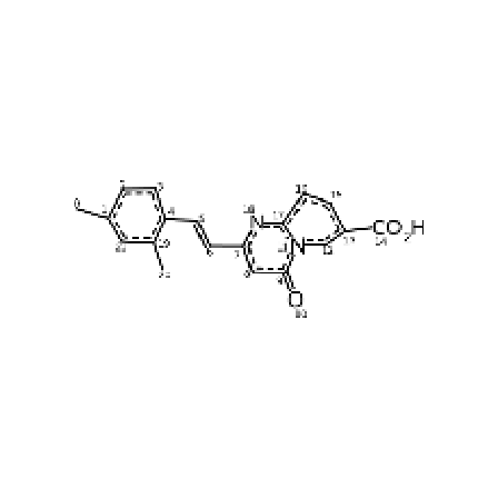 Cc1ccc(C=Cc2cc(=O)n3cc(C(=O)O)ccc3n2)c(C)c1